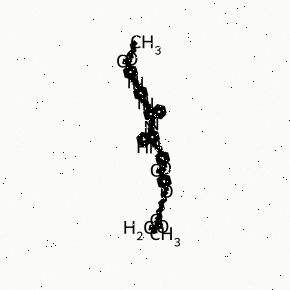 C=C(C)C(=O)OCCCCCCOc1ccc(C(=O)Oc2ccc(CNc3ccc(/N=N/c4ccc(/N=N/c5ccc(/N=N/c6ccc(C(=O)OCCCC)cc6)cc5)c5ccccc45)c4ccccc34)cc2)cc1